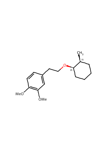 COc1ccc(CCO[C@@H]2CCCC[C@@H]2C)cc1OC